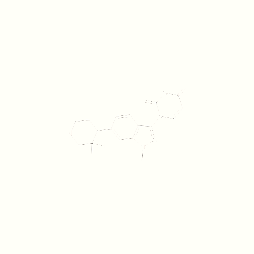 Cl.Cn1nc(-n2ccc(=O)[nH]c2=O)c2ccc(C3CCNCC3(F)F)cc21